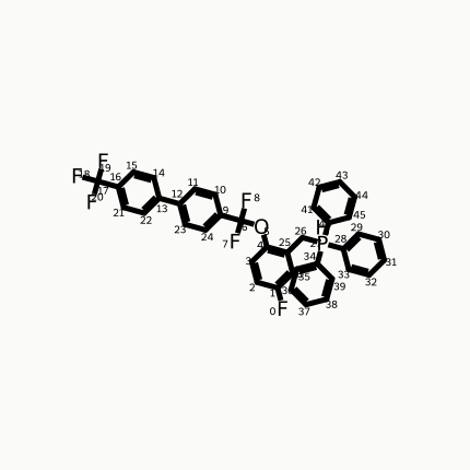 Fc1ccc(OC(F)(F)c2ccc(-c3ccc(C(F)(F)F)cc3)cc2)c(C[PH](c2ccccc2)(c2ccccc2)c2ccccc2)c1